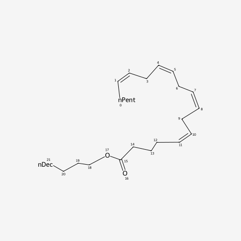 CCCCC/C=C\C/C=C\C/C=C\C/C=C\CCCC(=O)OCCCCCCCCCCCCC